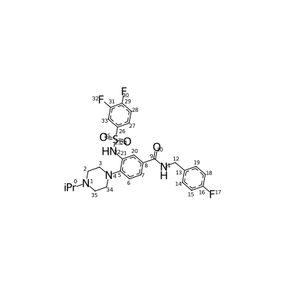 CC(C)N1CCN(c2ccc(C(=O)NCc3ccc(F)cc3)cc2NS(=O)(=O)c2ccc(F)c(F)c2)CC1